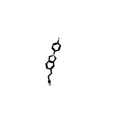 N#CCCc1ccc2c(c1)CN(c1ccc(F)cc1)C2